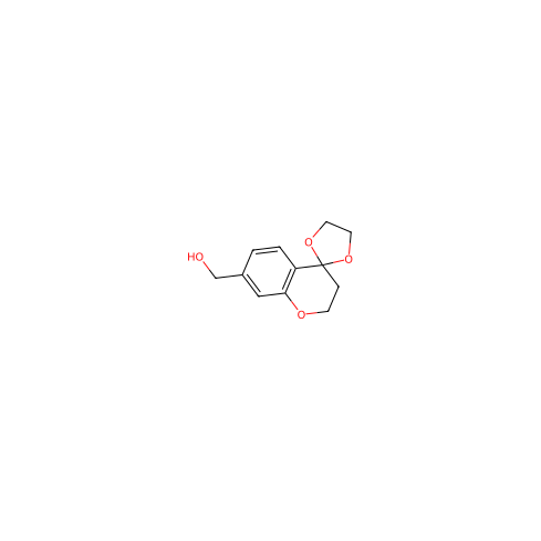 OCc1ccc2c(c1)OCCC21OCCO1